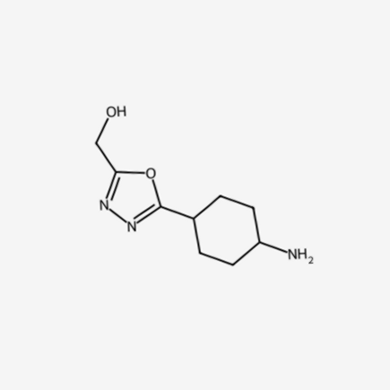 NC1CCC(c2nnc(CO)o2)CC1